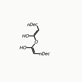 CCCCCCCCCCC=C(O)OC(O)=CCCCCCCCCCC